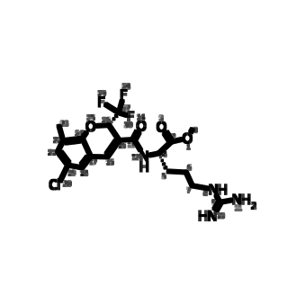 COC(=O)[C@H](CCCNC(=N)N)NC(=O)C1=Cc2cc(Cl)cc(C)c2O[C@@H]1C(F)(F)F